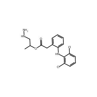 CC(CNN)OC(=O)Cc1ccccc1Nc1c(Cl)cccc1Cl